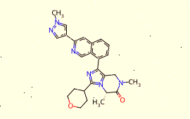 C[C@H]1C(=O)N(C)Cc2c(-c3cccc4cc(-c5cnn(C)c5)ncc34)nc(C3CCOCC3)n21